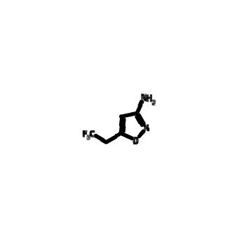 Nc1cc(CC(F)(F)F)on1